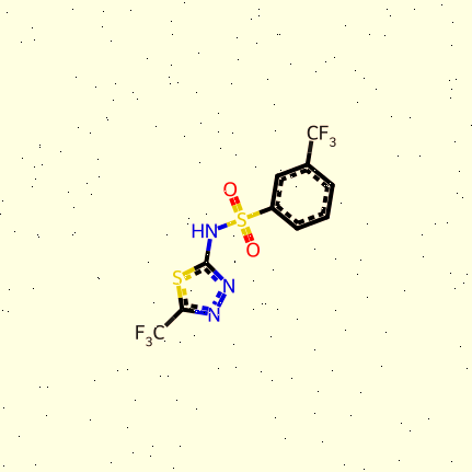 O=S(=O)(Nc1nnc(C(F)(F)F)s1)c1cccc(C(F)(F)F)c1